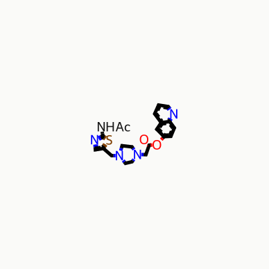 CC(=O)Nc1ncc(CN2CCN(CC(=O)Oc3ccc4ncccc4c3)CC2)s1